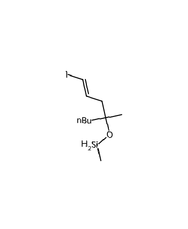 CCCCC(C)(C/C=C/I)O[SiH2]C